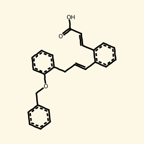 O=C(O)C=Cc1ccccc1C=CCc1ccccc1OCc1ccccc1